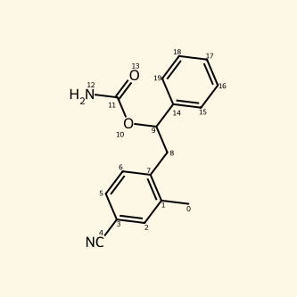 Cc1cc(C#N)ccc1CC(OC(N)=O)c1ccccc1